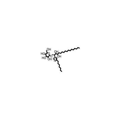 CCCCCCCCCCCCCC[C@@H](O)[C@@H](O)[C@H](CO[C@H]1OC(CO)[C@H](O)[C@H](O)[C@H]1O)n1cc(CCCCCCC)nn1